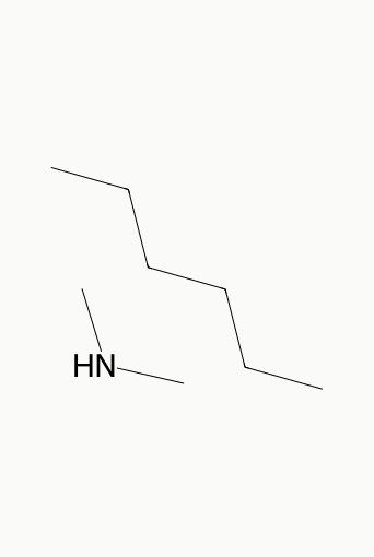 CCCCCC.CNC